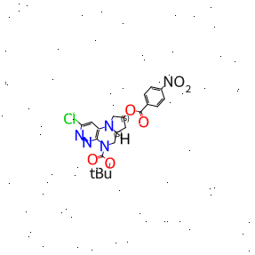 CC(C)(C)OC(=O)N1C[C@@H]2C[C@H](OC(=O)c3ccc([N+](=O)[O-])cc3)CN2c2cc(Cl)nnc21